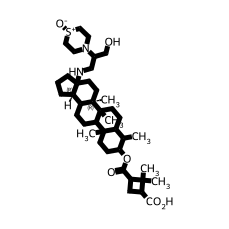 CC1C(OC(=O)C2CC(C(=O)O)C2(C)C)CCC2(C)C1CCC1(C)C2CCC2[C@H]3CCCC3(NCC(CO)N3CC[S+]([O-])CC3)CC[C@]21C